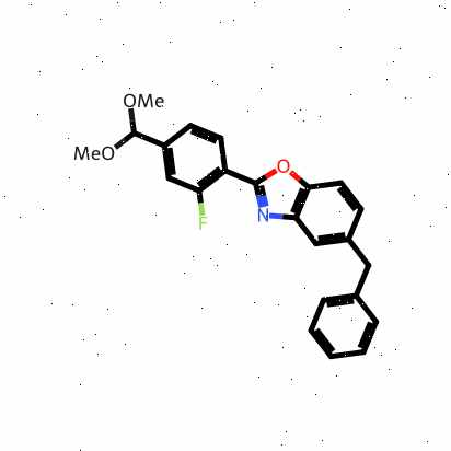 COC(OC)c1ccc(-c2nc3cc(Cc4ccccc4)ccc3o2)c(F)c1